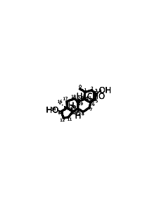 CC1C[C@H](O)C=C2CC[C@H]3[C@@H]4CC[C@H](O)[C@@]4(C)CC[C@@H]3[C@]21C=O